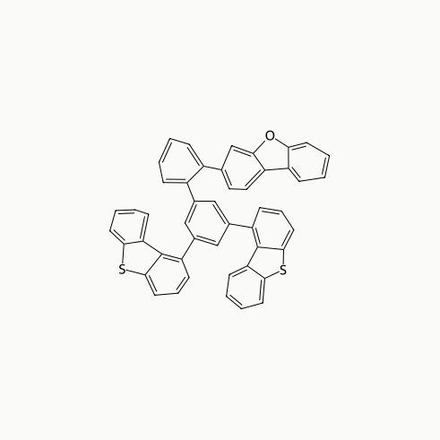 c1ccc(-c2ccc3c(c2)oc2ccccc23)c(-c2cc(-c3cccc4sc5ccccc5c34)cc(-c3cccc4sc5ccccc5c34)c2)c1